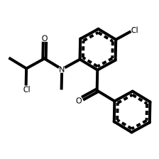 CC(Cl)C(=O)N(C)c1ccc(Cl)cc1C(=O)c1ccccc1